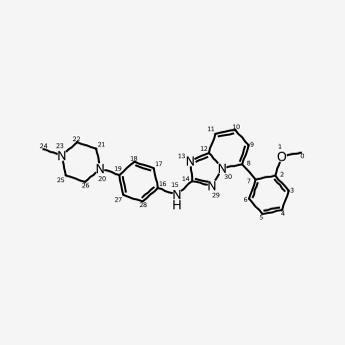 COc1ccccc1-c1cccc2nc(Nc3ccc(N4CCN(C)CC4)cc3)nn12